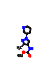 CC(C)(C)OC(=O)Nc1cn(-c2cccnc2)nc1C(F)(F)F